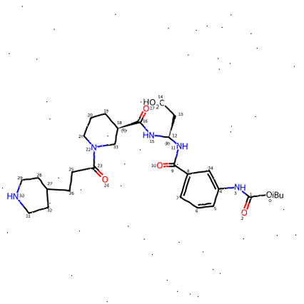 CC(C)COC(=O)Nc1cccc(C(=O)N[C@H](CC(=O)O)NC(=O)[C@@H]2CCCN(C(=O)CCC3CCNCC3)C2)c1